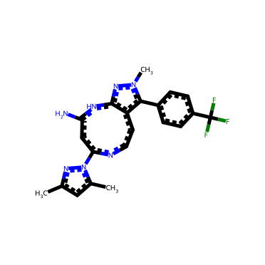 Cc1cc(C)n(-c2cc(N)[nH]c3nn(C)c(-c4ccc(C(F)(F)F)cc4)c3ccn2)n1